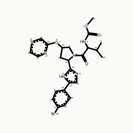 COC(=O)NC(C(=O)N1CC(Oc2cnccn2)CC1c1ncc(-c2ccc(Br)cc2)[nH]1)C(C)C